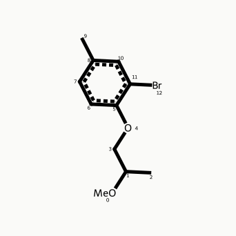 COC(C)COc1ccc(C)cc1Br